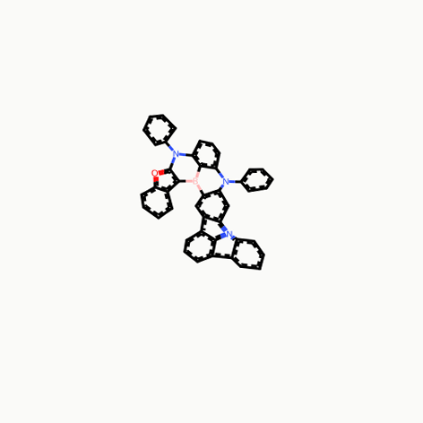 c1ccc(N2c3cc4c(cc3B3c5c2cccc5N(c2ccccc2)c2oc5ccccc5c23)c2cccc3c5ccccc5n4c32)cc1